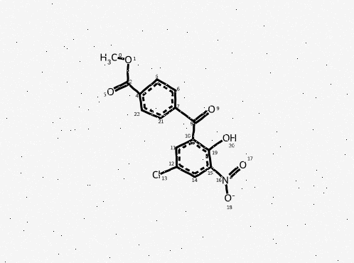 COC(=O)c1ccc(C(=O)c2cc(Cl)cc([N+](=O)[O-])c2O)cc1